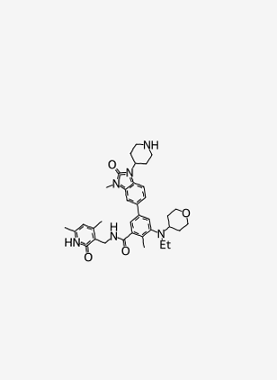 CCN(c1cc(-c2ccc3c(c2)n(C)c(=O)n3C2CCNCC2)cc(C(=O)NCc2c(C)cc(C)[nH]c2=O)c1C)C1CCOCC1